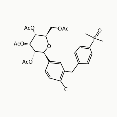 CC(=O)OC[C@H]1O[C@@H](c2ccc(Cl)c(Cc3ccc(P(C)(C)=O)cc3)c2)[C@H](OC(C)=O)[C@@H](OC(C)=O)[C@@H]1OC(C)=O